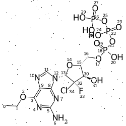 CCOc1nc(N)nc2c1ncn2[C@@H]1O[C@H](COP(=O)(O)OP(=O)(O)OP(=O)(O)O)[C@@H](O)[C@@]1(F)Cl